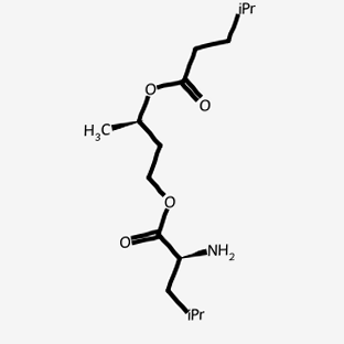 CC(C)CCC(=O)O[C@H](C)CCOC(=O)[C@@H](N)CC(C)C